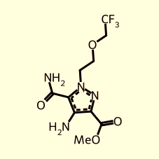 COC(=O)c1nn(CCOCC(F)(F)F)c(C(N)=O)c1N